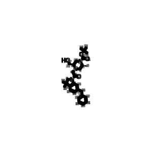 C[C@@H]1CN(CC(=O)N2CC(C)(C)c3ccc(Cc4ccccc4)cc32)[C@@H](CO)CN1C(=O)OC(C)(C)C